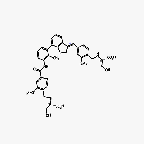 COc1cc(/C=C2\CCc3c2cccc3-c2cccc(NC(=O)c3cc(OC)c(CN[C@@H](CO)C(=O)O)cn3)c2C)ccc1CN[C@@H](CO)C(=O)O